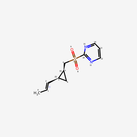 C/C=C/[C@@H]1C[C@@H]1CS(=O)(=O)c1ncccn1